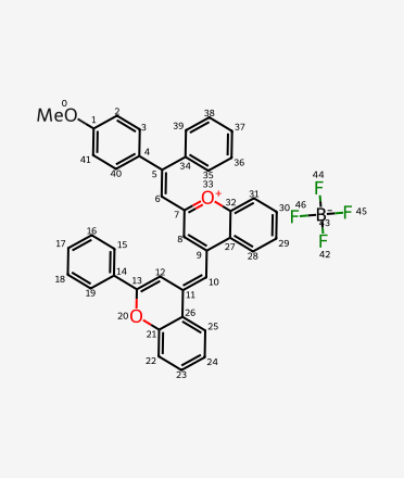 COc1ccc(C(=Cc2cc(C=C3C=C(c4ccccc4)Oc4ccccc43)c3ccccc3[o+]2)c2ccccc2)cc1.F[B-](F)(F)F